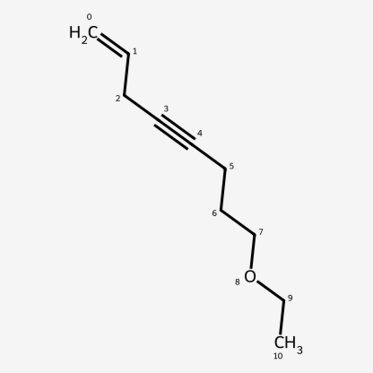 C=CCC#CCCCOCC